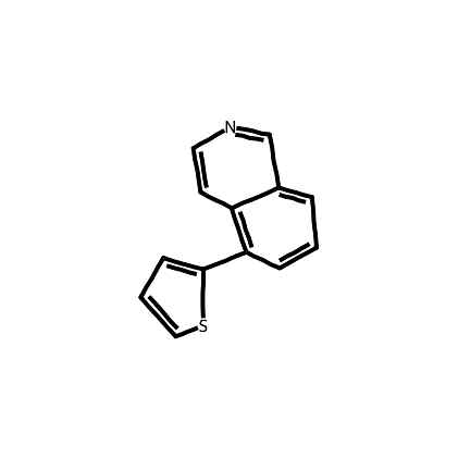 c1csc(-c2cccc3cnccc23)c1